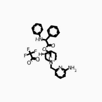 Nc1cccc(C[N+]23CCC(CC2)[C@@H](OC(=O)C(Nc2ccccc2)c2ccccc2)C3)n1.O=C([O-])C(F)(F)F